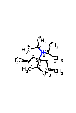 C=CC[Si](CC=C)(C(C)C)N(C(C)C)C(C)C